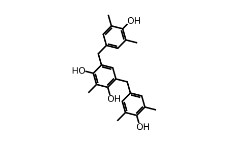 Cc1cc(Cc2cc(Cc3cc(C)c(O)c(C)c3)c(O)c(C)c2O)cc(C)c1O